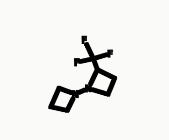 FC(F)(F)C1CCN1N1CCC1